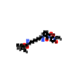 CN1C(=O)CCC(N2C(=O)c3cccc(NCCCCCCCCNC(=O)OC(C)(C)C)c3C2=O)C1=O